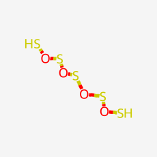 SOSOSOSOS